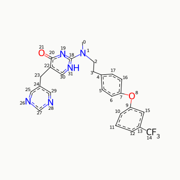 CN(CCc1ccc(Oc2cccc(C(F)(F)F)c2)cc1)c1nc(=O)c(Cc2cncnc2)c[nH]1